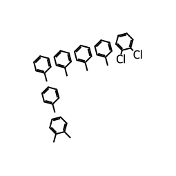 Cc1ccccc1.Cc1ccccc1.Cc1ccccc1.Cc1ccccc1.Cc1ccccc1.Cc1ccccc1C.Clc1ccccc1Cl